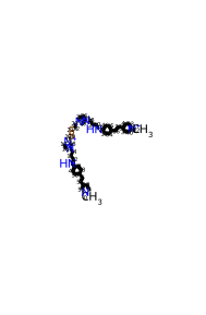 Cn1ccc(/C=C/c2ccc(NCCCn3cc[n+](CSSCC[n+]4ccn(CCCNc5ccc(/C=C/c6cc[n+](C)cc6)cc5)c4)c3)cc2)c1